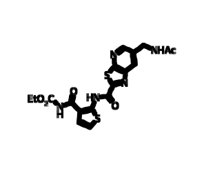 CCOC(=O)NC(=O)c1ccsc1NC(=O)c1nc2cc(CNC(C)=O)cnc2s1